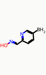 Bc1ccc(/C=N/O)nc1